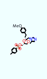 COc1ccc(CC[C@]2(Cn3cncc3C)OC[C@H](COS(=O)(=O)c3ccc(C)cc3)O2)cc1